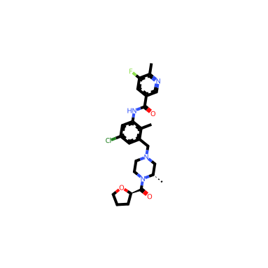 Cc1ncc(C(=O)Nc2cc(Cl)cc(CN3CCN(C(=O)[C@H]4CCCO4)[C@@H](C)C3)c2C)cc1F